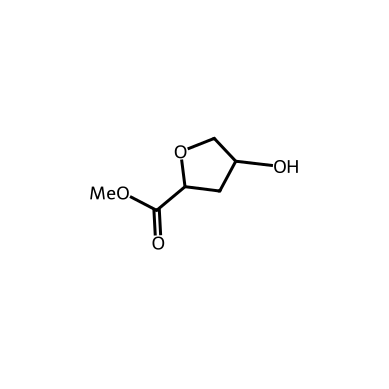 COC(=O)C1CC(O)CO1